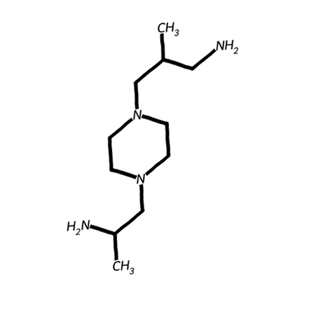 CC(N)CN1CCN(CC(C)CN)CC1